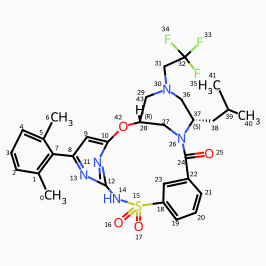 Cc1cccc(C)c1-c1cc2nc(n1)NS(=O)(=O)c1cccc(c1)C(=O)N1C[C@@H](CN(CC(F)(F)F)C[C@@H]1CC(C)C)O2